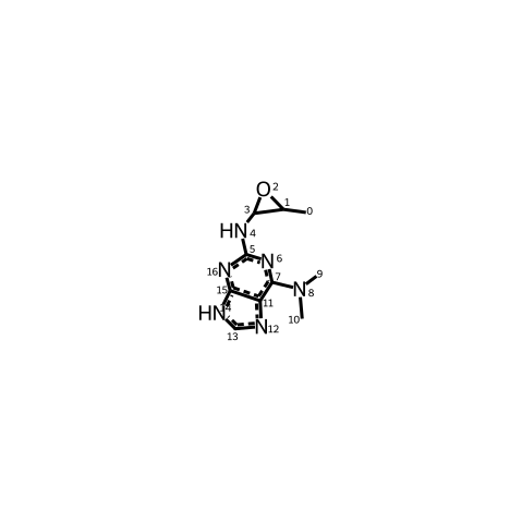 CC1OC1Nc1nc(N(C)C)c2nc[nH]c2n1